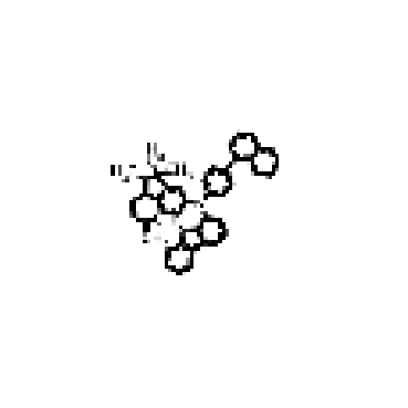 C=C(C)/C=C\C1=C(C)C(C)(C)c2cc(N(c3ccc(-c4cccc5ccccc45)cc3)c3cccc4c3sc3ccccc34)ccc21